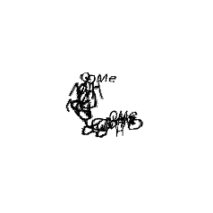 COC(=O)C1CN=C(c2cnc3cc(-c4cccc(-c5cccc(-c6ccc(CNC[C@@H]7CCC(=O)N7)c(OC)n6)c5Cl)c4Cl)ccn3c2=O)N1